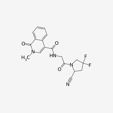 Cn1cc(C(=O)NCC(=O)N2CC(F)(F)CC2C#N)c2ccccc2c1=O